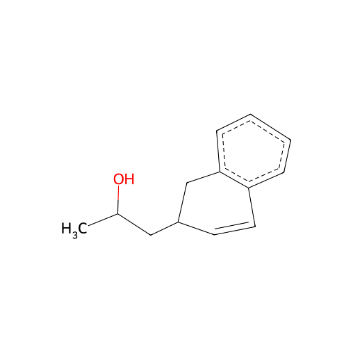 CC(O)CC1C=Cc2ccccc2C1